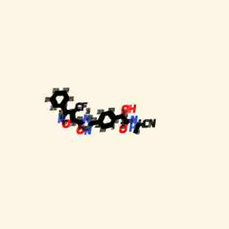 C[C@H](C#N)NC(=O)C(O)c1ccc(-c2noc(-c3onc(-c4ccccc4)c3C(F)(F)F)n2)cc1